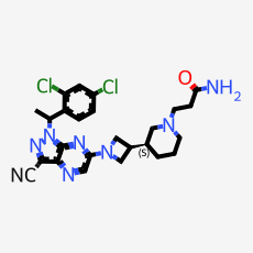 CC(c1ccc(Cl)cc1Cl)n1nc(C#N)c2ncc(N3CC([C@@H]4CCCN(CCC(N)=O)C4)C3)nc21